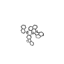 c1ccc2c(B3c4cc5oc6ccccc6c5cc4-n4c5c3ccc3cccc(c35)n3c5cccc6c5c(c43)CC6)cccc2c1